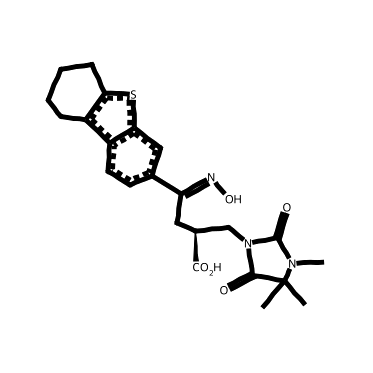 CN1C(=O)N(C[C@H](CC(=NO)c2ccc3c4c(sc3c2)CCCC4)C(=O)O)C(=O)C1(C)C